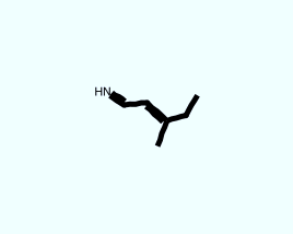 CCC(C)=CC=N